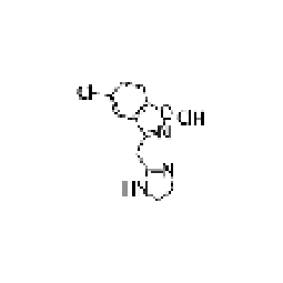 Cl.Clc1ccc2onc(CC3=NCCN3)c2c1